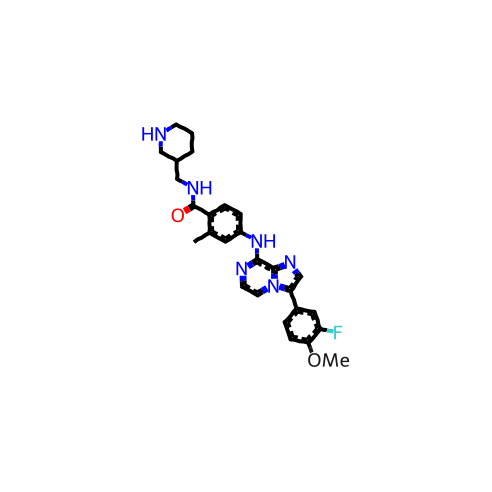 COc1ccc(-c2cnc3c(Nc4ccc(C(=O)NCC5CCCNC5)c(C)c4)nccn23)cc1F